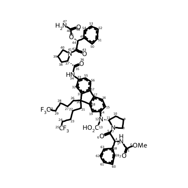 COC(=O)N[C@H](C(=O)N1CCC[C@H]1N(C(=O)O)c1ccc2c(c1)C(CCCCC(F)(F)F)(CCCCC(F)(F)F)c1cc(NC(=O)[C@@H]3CCCN3C(=O)[C@H](OC(N)=O)c3ccccc3)ccc1-2)c1ccccc1